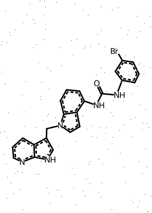 O=C(Nc1cccc(Br)c1)Nc1cccc2c1ccn2Cc1c[nH]c2ncccc12